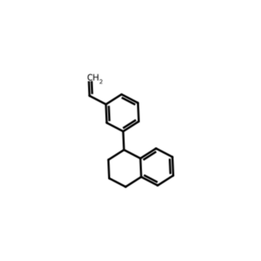 C=Cc1cccc(C2CCCc3ccccc32)c1